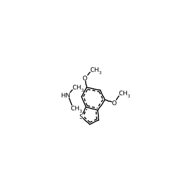 CNC.COc1cc(OC)c2ccsc2c1